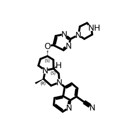 C[C@@H]1CN(c2ccc(C#N)c3ncccc23)C[C@@H]2C[C@@H](Oc3cnc(N4CCNCC4)nc3)CCN21